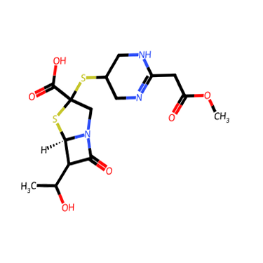 COC(=O)CC1=NCC(SC2(C(=O)O)CN3C(=O)C(C(C)O)[C@H]3S2)CN1